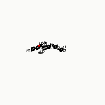 COC(=O)[C@](C)(Cc1ccc(-c2ccc(C#N)cc2)cc1)NC(=O)C1Cc2cc3c(cc2CN1C(=O)OC(C)(C)C)O[C@@H](c1ccc(OCc2ccc(Cl)c(Cl)c2)cc1)CO3